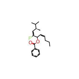 CCC/C=C\C(OC(=O)c1ccccc1)/C(F)=C\[C@H](C)C(C)C